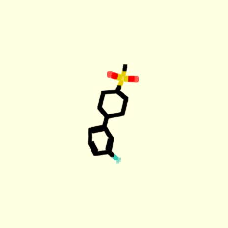 CS(=O)(=O)C1CCC(c2cccc(F)c2)CC1